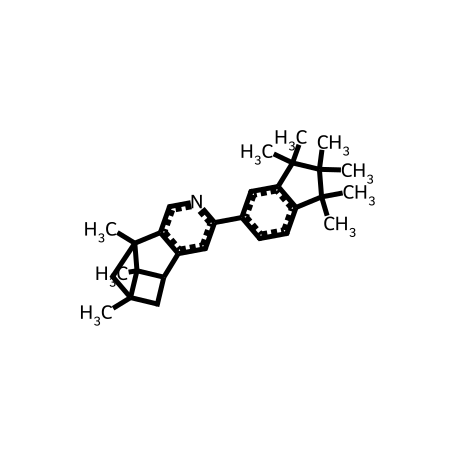 CC12CC3c4cc(-c5ccc6c(c5)C(C)(C)C(C)(C)C6(C)C)ncc4C(C)(C1)C32C